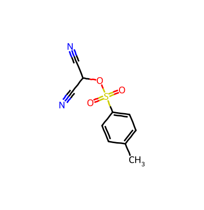 Cc1ccc(S(=O)(=O)OC(C#N)C#N)cc1